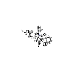 C=C(c1ccccc1Cl)N(C)/C(=N\N)C1(c2ccc(N)cc2)CC(F)C1